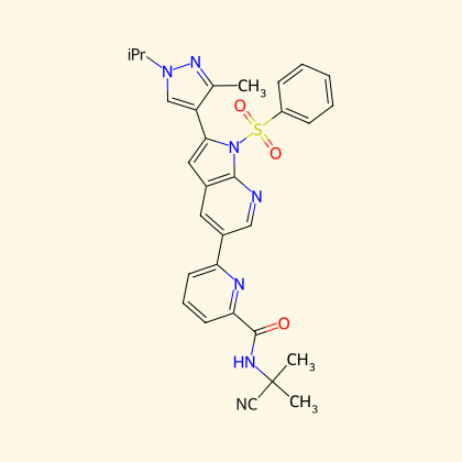 Cc1nn(C(C)C)cc1-c1cc2cc(-c3cccc(C(=O)NC(C)(C)C#N)n3)cnc2n1S(=O)(=O)c1ccccc1